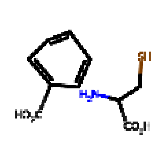 NC(CS)C(=O)O.O=C(O)c1ccccc1